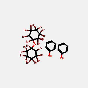 BrC1C(Br)(Br)C(Br)(Br)C(Br)(Br)C(Br)(Br)C1(Br)OC1(Br)C(Br)C(Br)(Br)C(Br)(Br)C(Br)(Br)C1(Br)Br.Oc1ccccc1.Oc1ccccc1